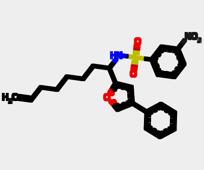 C=CCCCCCC(NS(=O)(=O)c1cccc([N+](=O)[O-])c1)c1cc(-c2ccccc2)co1